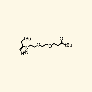 CC(C)(C)Cc1cnnn1CCOCCOCCC(=O)C(C)(C)C